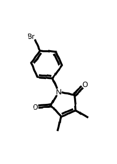 CC1=C(C)C(=O)N(c2ccc(Br)cc2)C1=O